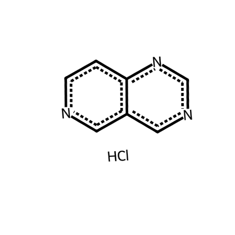 Cl.c1cc2ncncc2cn1